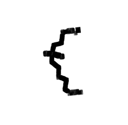 CC(=O)NCCSCCS(=O)(=O)CCSS(=O)(=O)O